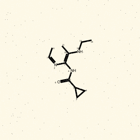 C/C=N\C(NC(=O)C1CC1)=C(/C)NCC